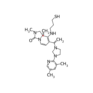 C=C/C(NCCCS)=C(\C=C/N1CCN(C)C1=O)C(=C)N1CCN(c2ncc(C)cc2C)C1